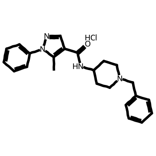 Cc1c(C(=O)NC2CCN(Cc3ccccc3)CC2)cnn1-c1ccccc1.Cl